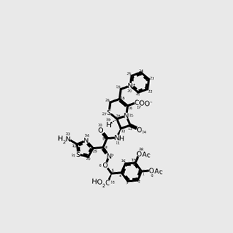 CC(=O)Oc1ccc([C@H](ON=C(C(=O)N[C@@H]2C(=O)N3C(C(=O)[O-])=C(C[n+]4ccccc4)CS[C@H]23)c2csc(N)n2)C(=O)O)cc1OC(C)=O